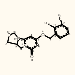 O=c1nc(OCc2cccc(F)c2F)cc2n1CC1COCN21